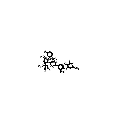 Cc1cc(Oc2ccc(C(=O)N[C@H](C)C(=O)N3[C@H](C4(C)C=C(F)C=CC4)[C@H](O)C[C@@H]3C(C)(C)C#N)cc2C)c(=O)[nH]n1